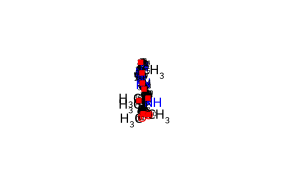 COc1ccc(-c2[nH]c3ccc(-c4cnc(N5CCN(Cc6cccn6C)CC5)nc4)cc3c2C(C)C)cc1OC